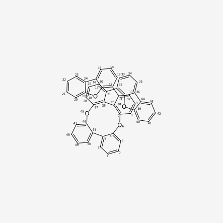 c1ccc2c(c1)Oc1cccc(-c3cccc4c3oc3ccccc34)c1-c1c(cccc1-c1cccc3c1oc1ccccc13)Oc1ccccc1-2